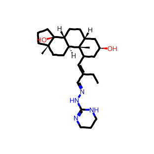 CCC(/C=N/NC1=NCCCN1)=C\C1C[C@H](O)C[C@H]2CC[C@@H]3[C@H](CC[C@]4(C)CCC[C@]34O)[C@@]12C